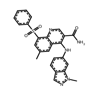 Cc1cc(S(=O)(=O)c2ccccc2)c2ncc(C(N)=O)c(Nc3ccc4cnn(C)c4c3)c2c1